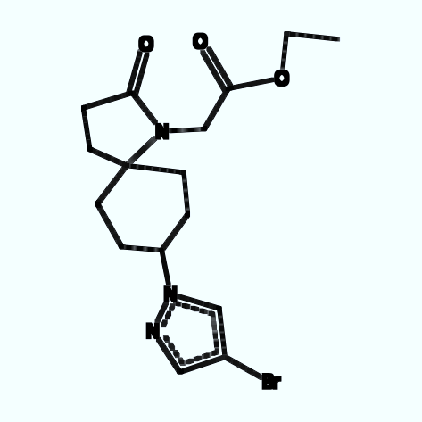 CCOC(=O)CN1C(=O)CCC12CCC(n1cc(Br)cn1)CC2